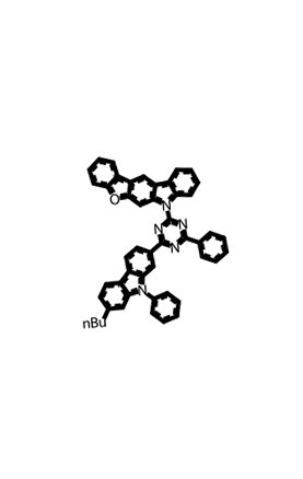 CCCCc1ccc2c3ccc(-c4nc(-c5ccccc5)nc(-n5c6ccccc6c6cc7c(cc65)oc5ccccc57)n4)cc3n(-c3ccccc3)c2c1